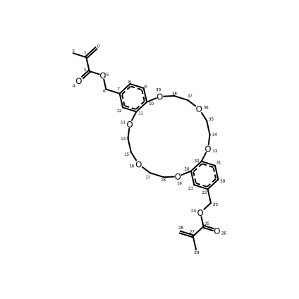 C=C(C)C(=O)OCc1ccc2c(c1)OCCOCCOc1cc(COC(=O)C(=C)C)ccc1OCCOCCO2